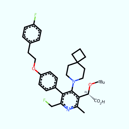 Cc1nc(CF)c(-c2ccc(OCCc3ccc(F)cc3)cc2)c(N2CCC3(CCC3)CC2)c1[C@H](OC(C)(C)C)C(=O)O